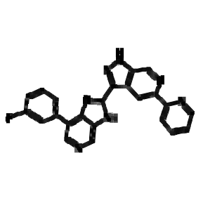 Fc1cccc(-c2cncc3[nH]c(-c4n[nH]c5cnc(-c6ccccn6)cc45)nc23)c1